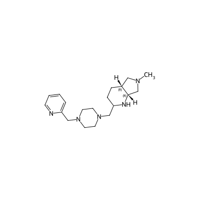 CN1C[C@H]2CCC(CN3CCN(Cc4ccccn4)CC3)N[C@H]2C1